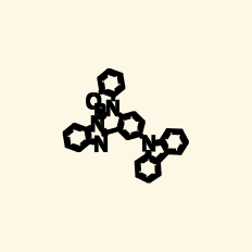 c1ccc2c(c1)OB1N2c2ccc(-n3c4ccccc4c4ccccc43)cc2-c2nc3ccccc3n21